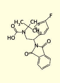 CC(C)(C)N(CC(c1ccc(F)cc1)N1C(=O)c2ccccc2C1=O)C(=O)O